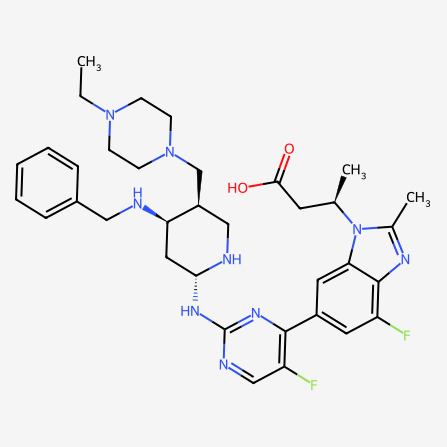 CCN1CCN(C[C@H]2CN[C@H](Nc3ncc(F)c(-c4cc(F)c5nc(C)n([C@H](C)CC(=O)O)c5c4)n3)C[C@H]2NCc2ccccc2)CC1